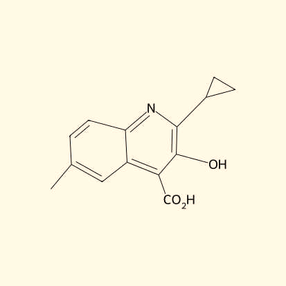 Cc1ccc2nc(C3CC3)c(O)c(C(=O)O)c2c1